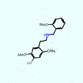 COc1cc(CCNCc2ccccc2OC)c(OC)cc1S